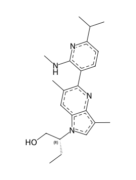 CC[C@H](CO)n1cc(C)c2nc(-c3ccc(C(C)C)nc3NC)c(C)cc21